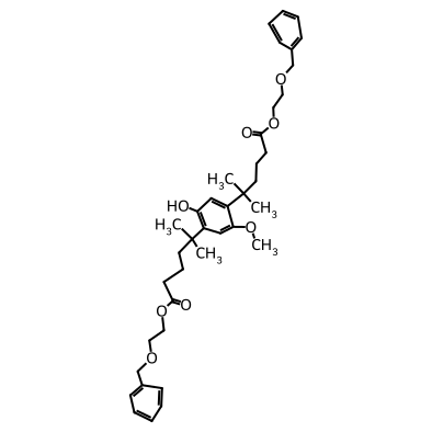 COc1cc(C(C)(C)CCCC(=O)OCCOCc2ccccc2)c(O)cc1C(C)(C)CCCC(=O)OCCOCc1ccccc1